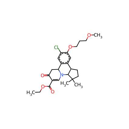 CCOC(=O)C1=CN2C(CC1=O)c1cc(Cl)c(OCCCOC)cc1C1CCC(C)(C)C12